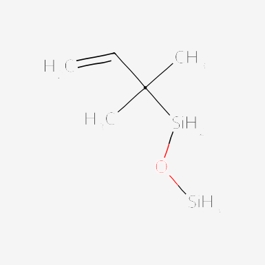 C=CC(C)(C)[SiH2]O[SiH3]